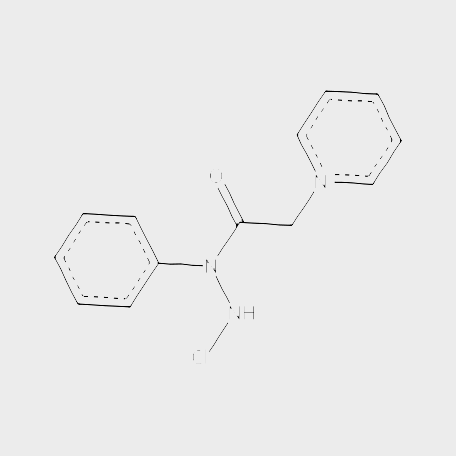 O=C(C[n+]1ccccc1)N(NCl)c1ccccc1